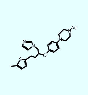 CC(=O)N1CCN(c2ccc(OC(CCc3ccc(C)s3)Cn3ccnc3)cc2)CC1